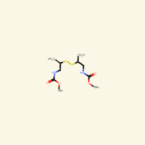 CC(C)(C)OC(=O)NCC(SSC(CNC(=O)OC(C)(C)C)C(=O)O)C(=O)O